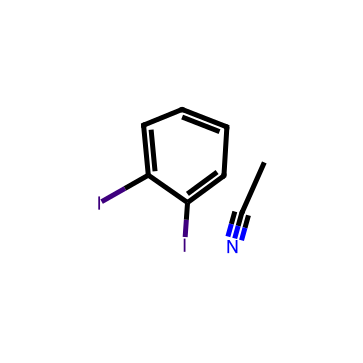 CC#N.Ic1ccccc1I